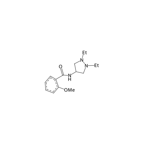 CCN1CC(NC(=O)c2ccccc2OC)CN1CC